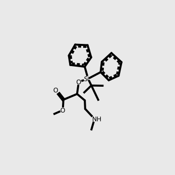 CNCCC(O[Si](c1ccccc1)(c1ccccc1)C(C)(C)C)C(=O)OC